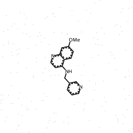 COc1ccc2c(NCc3cccnc3)ccnc2c1